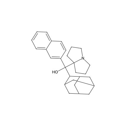 OC(c1ccc2ccccc2c1)(C1C2CC3CC(C2)CC1C3)C12CCCN1CCC2